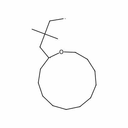 [CH2]CC(C)(C)C[C]1CCCCCCCCCCCO1